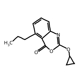 CCCc1cccc2nc(OC3CC3)oc(=O)c12